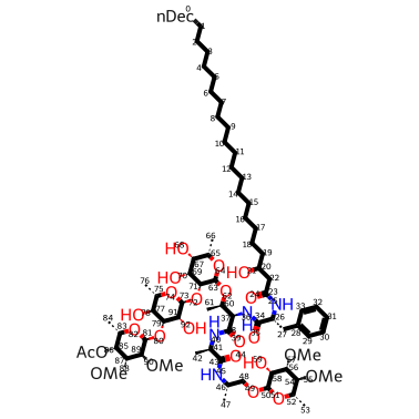 CCCCCCCCCCCCCCCCCCCCCCCCCCCCCC(O)CC(=O)N[C@H](Cc1ccccc1)C(=O)N[C@@H](C(=O)N[C@H](C)C(=O)N[C@@H](C)COC1O[C@@H](C)[C@H](OC)[C@@H](OC)[C@H]1O)[C@@H](C)OC1O[C@@H](C)[C@@H](O)[C@@H](O)[C@H]1O[C@@H]1O[C@@H](C)[C@H](O)[C@@H](O[C@@H]2O[C@@H](C)[C@@H](OC(C)=O)[C@@H](OC)[C@@H]2OC)[C@H]1O